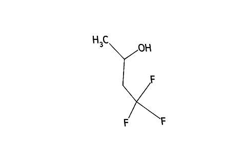 CC(O)CC(F)(F)F